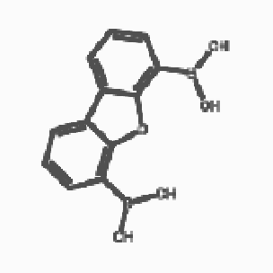 OB(O)c1cccc2c1oc1c(B(O)O)cccc12